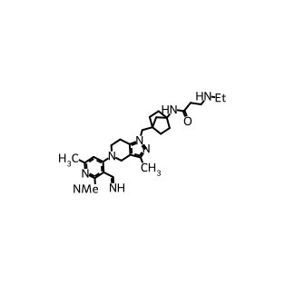 CCNCCC(=O)NC12CCC(Cn3nc(C)c4c3CCN(c3cc(C)nc(NC)c3C=N)C4)(CC1)C2